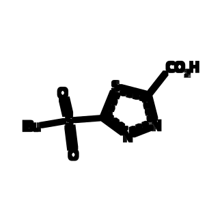 CCC(C)S(=O)(=O)c1nnc(C(=O)O)s1